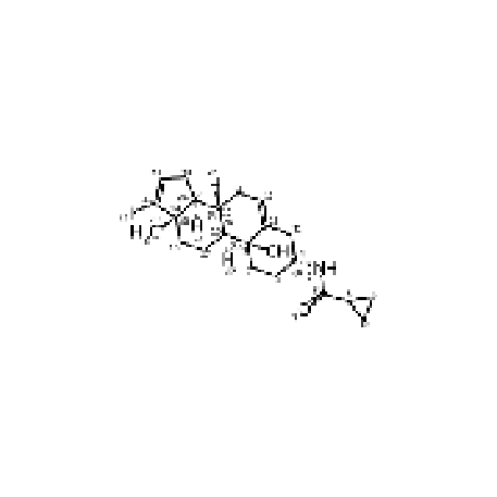 C[C@]12CC[C@@H](NC(=O)C3CC3)CC1=CC[C@@H]1[C@@H]2CC[C@]2(C)C(I)=CC[C@@H]12